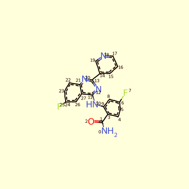 NC(=O)c1ccc(F)cc1Nc1nc(-c2cccnc2)nc2ccc(F)cc12